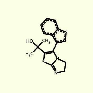 CC(C)(O)C1=C(c2csc3ccccc23)N2CCN=C2S1